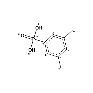 Cc1cc(C)cc(P(=O)(O)O)c1